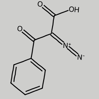 [N-]=[N+]=C(C(=O)O)C(=O)c1ccccc1